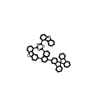 c1ccc(-c2nc(-c3cccc4oc5ccc(-c6ccc(-c7ccc8c(c7)-c7ccccc7C87c8ccccc8-c8ccccc87)cc6)cc5c34)nc(-c3cccc4sc5ccccc5c34)n2)cc1